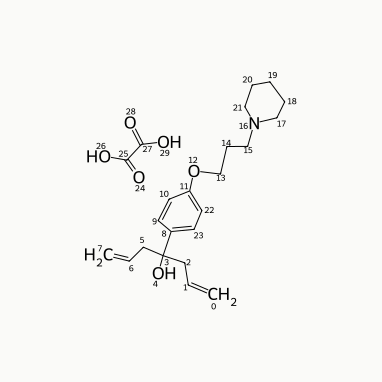 C=CCC(O)(CC=C)c1ccc(OCCCN2CCCCC2)cc1.O=C(O)C(=O)O